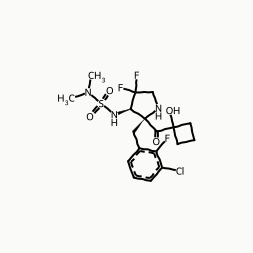 CN(C)S(=O)(=O)N[C@H]1C(F)(F)CN[C@]1(Cc1cccc(Cl)c1F)C(=O)C1(O)CCC1